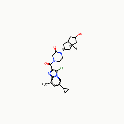 O=C(c1nc2c(C(F)(F)F)cc(C3CC3)cn2c1Cl)N1CCN([C@@H]2CC3CC(O)C[C@@H]3C2)C(=O)C1